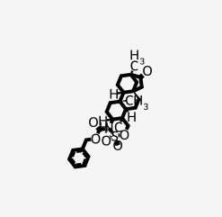 C[C@@]12CC[C@@H]3[C@@](CC[C@@H]4[C@]5(C)COS(=O)(=O)N(C(=O)OCc6ccccc6)[C@@H]5CC[C@]43C)(CC1=O)C2